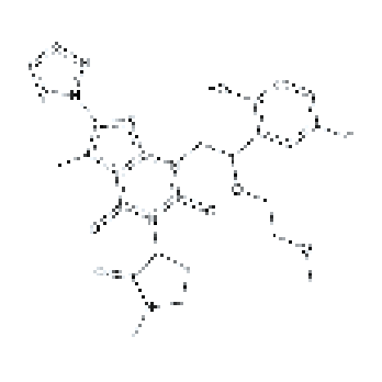 COCCOC(Cn1c(=O)n(C2CCN(C)C2=O)c(=O)c2c(C)c(-n3nccn3)sc21)c1cc(F)ccc1O